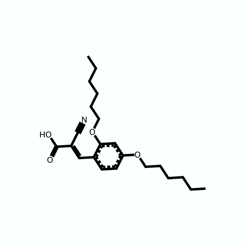 CCCCCCOc1ccc(/C=C(\C#N)C(=O)O)c(OCCCCCC)c1